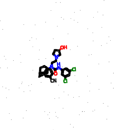 N#Cc1cccc([C@@]23CC[C@@H](N(CCN4CC[C@@H](O)C4)C(=O)Nc4cc(Cl)cc(Cl)c4)CC2C3)c1